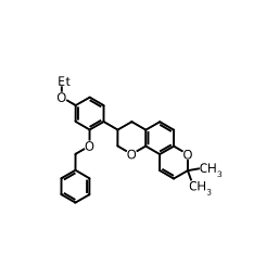 CCOc1ccc(C2COc3c(ccc4c3C=CC(C)(C)O4)C2)c(OCc2ccccc2)c1